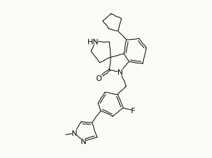 Cn1cc(-c2ccc(CN3C(=O)C4(CCNC4)c4c(C5CCCC5)cccc43)c(F)c2)cn1